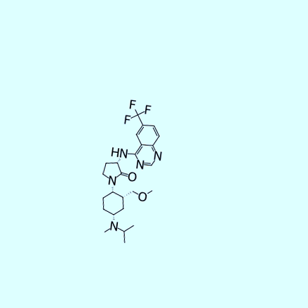 COC[C@@H]1C[C@H](N(C)C(C)C)CC[C@@H]1N1CC[C@H](Nc2ncnc3ccc(C(F)(F)F)cc23)C1=O